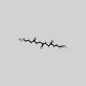 NCCCC(=O)CCC(=O)CCC(=O)CCCN